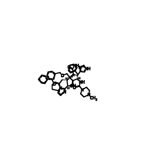 CN1CCN(C(=O)N[C@@H](Cc2ccccc2)C(=O)[N+](COCc2ccccc2)([C@@H](Cc2c[nH]cn2)C(N)=O)[C@@H](CC2CCCCC2)[C@@H](O)c2nccn2COCc2ccccc2)CC1